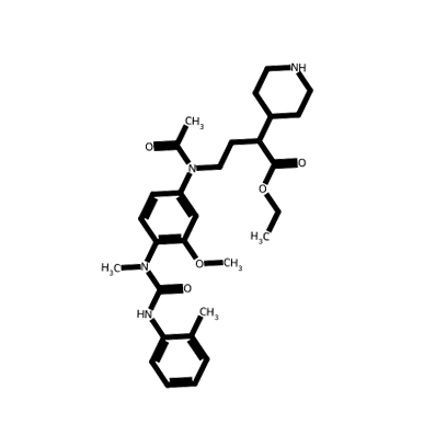 CCOC(=O)C(CCN(C(C)=O)c1ccc(N(C)C(=O)Nc2ccccc2C)c(OC)c1)C1CCNCC1